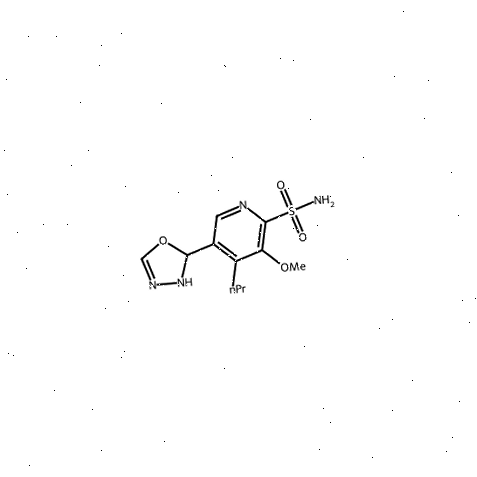 CCCc1c(C2NN=CO2)cnc(S(N)(=O)=O)c1OC